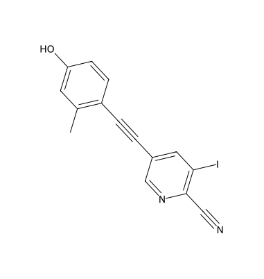 Cc1cc(O)ccc1C#Cc1cnc(C#N)c(I)c1